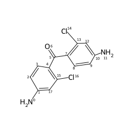 Nc1ccc(C(=O)c2ccc(N)cc2Cl)c(Cl)c1